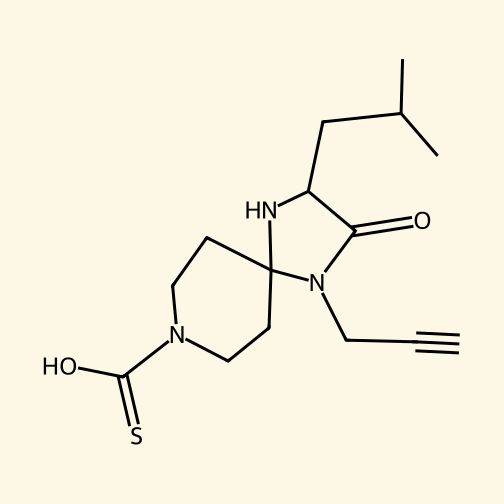 C#CCN1C(=O)C(CC(C)C)NC12CCN(C(O)=S)CC2